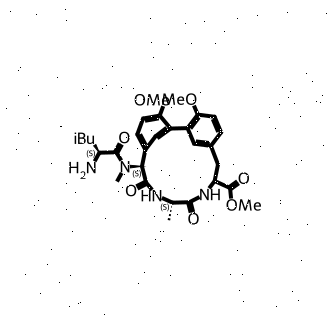 CCC(C)[C@H](N)C(=O)N(C)[C@@H]1C(=O)N[C@@H](C)C(=O)NC(C(=O)OC)Cc2ccc(OC)c(c2)-c2cc1ccc2OC